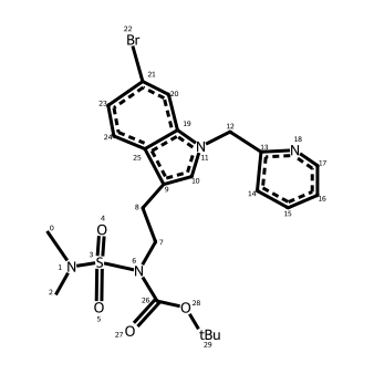 CN(C)S(=O)(=O)N(CCc1cn(Cc2ccccn2)c2cc(Br)ccc12)C(=O)OC(C)(C)C